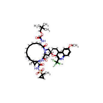 COc1ccc2nc(C(F)(F)F)c3c(c2c1)CC[C@]1(C[C@H]2C(=O)N[C@]4(C(=O)NS(=O)(=O)C5(C)CC5)C[C@H]4/C=C\CCCCC[C@H](NC(=O)OCC(C)(C)C)C(=O)N2C1)O3